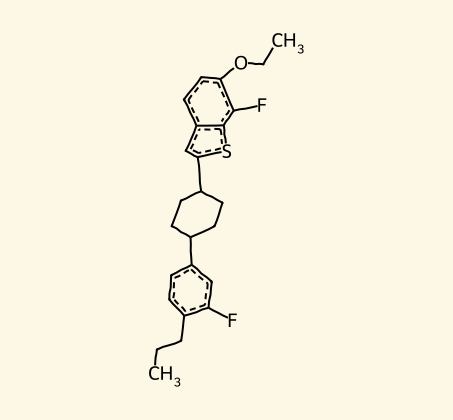 CCCc1ccc(C2CCC(c3cc4ccc(OCC)c(F)c4s3)CC2)cc1F